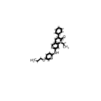 CCCOc1ccc(Nc2cc3c(cn2)cc(-c2ccccc2)c(=O)n3CC)nc1